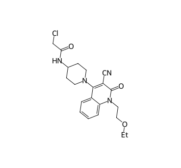 CCOCCn1c(=O)c(C#N)c(N2CCC(NC(=O)CCl)CC2)c2ccccc21